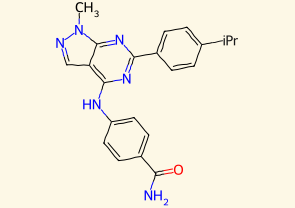 CC(C)c1ccc(-c2nc(Nc3ccc(C(N)=O)cc3)c3cnn(C)c3n2)cc1